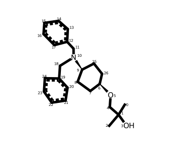 CC(C)(O)CO[C@H]1CC[C@@H](N(Cc2ccccc2)Cc2ccccc2)CC1